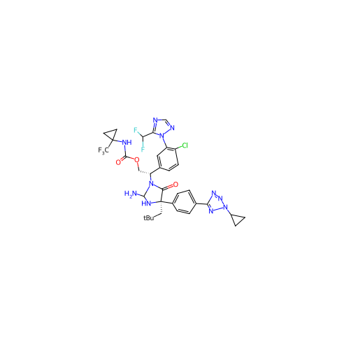 CC(C)(C)C[C@]1(c2ccc(-c3nnn(C4CC4)n3)cc2)NC(N)N([C@H](COC(=O)NC2(C(F)(F)F)CC2)c2ccc(Cl)c(-n3ncnc3C(F)F)c2)C1=O